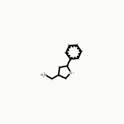 NCC1COC(c2ccccc2)C1